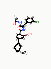 CCCCC(=O)Nc1oc(-c2ccc(-c3cccc([N+](=O)[O-])c3)cc2O)nc1-c1cccc(Cl)c1